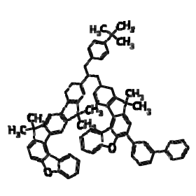 CC(C)(C)c1ccc(CC(CC2C=CC3=C(C2)C(C)(C)c2cc(-c4cccc(-c5ccccc5)c4)c4oc5ccccc5c4c23)C2=CC3=C(CC2)c2cc4c(cc2C3(C)C)-c2c(ccc3oc5ccccc5c23)C4(C)C)cc1